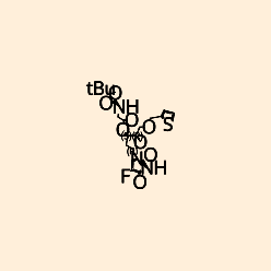 CC(C)(C)OC(=O)NCC(=O)O[C@H]1C[C@H](n2cc(F)c(=O)[nH]c2=O)O[C@@H]1COCc1cccs1